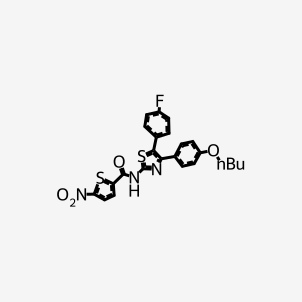 CCCCOc1ccc(-c2nc(NC(=O)c3ccc([N+](=O)[O-])s3)sc2-c2ccc(F)cc2)cc1